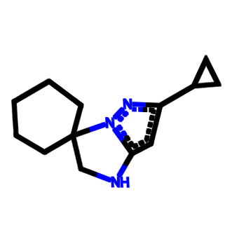 c1c(C2CC2)nn2c1NCC21CCCCC1